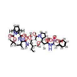 CC[C@H](C)[C@@H]([C@@H](CC(=O)N1CCCC1[C@H](OC)[C@@H](C)C(=O)N[C@@H](Cc1ccccc1)P(=O)(O)O)OC)N(C)C(=O)C(NC(=O)[C@@H]1[C@H]2CC[C@H](C2)N1C(=O)OC(C)(C)C)C(C)C